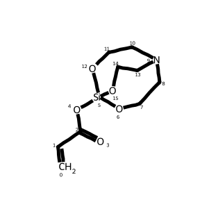 C=CC(=O)O[Si]12OCCN(CCO1)CCO2